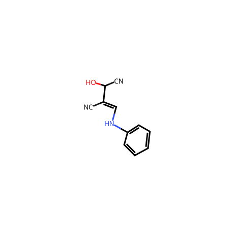 N#C/C(=C\Nc1ccccc1)C(O)C#N